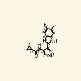 Cc1cc2[nH]c(-c3n[nH]cc3NC(=O)C3CC3)nc2cc1F